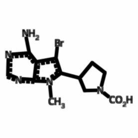 Cn1c(C2CCN(C(=O)O)C2)c(Br)c2c(N)ncnc21